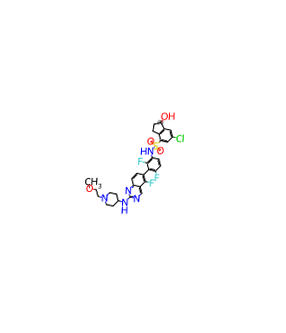 COCCN1CCC(Nc2ncc3c(F)c(-c4c(F)ccc(NS(=O)(=O)c5cc(Cl)cc6c5CC[C@H]6O)c4F)ccc3n2)CC1